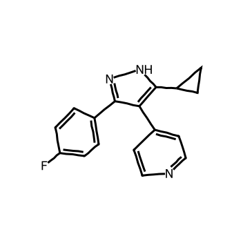 Fc1ccc(-c2n[nH]c(C3CC3)c2-c2ccncc2)cc1